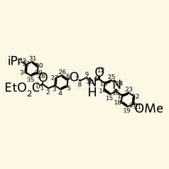 CCOC(=O)C(Cc1ccc(OCCNC(=O)c2ccc(-c3ccc(OC)cc3)nc2)cc1)Oc1ccc(C(C)C)cc1